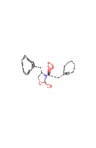 O=C(CC1=CCCCC1)N1C(=O)OCC1Cc1ccccc1